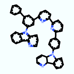 C1=CC2C(N=C1)c1ccccc1N2c1ccc(-c2cccc(-c3cccc(-c4cc(-c5ccccc5)cc(-n5c6ccccc6c6ncccc65)c4)n3)n2)cc1